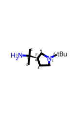 CC(C)(N)[C@@H]1CCN(C(C)(C)C)C1